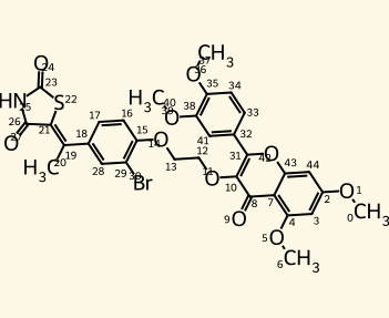 COc1cc(OC)c2c(=O)c(OCCOc3ccc(/C(C)=C4\SC(=O)NC4=O)cc3Br)c(-c3ccc(OC)c(OC)c3)oc2c1